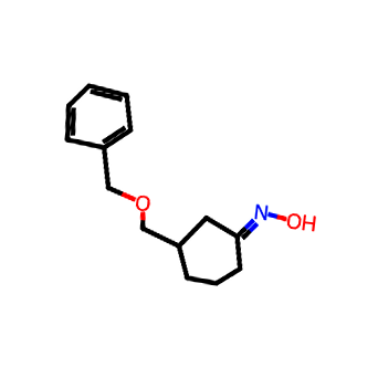 O/N=C1\CCCC(COCc2ccccc2)C1